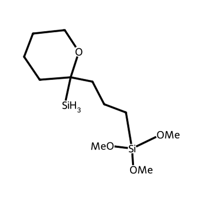 CO[Si](CCCC1([SiH3])CCCCO1)(OC)OC